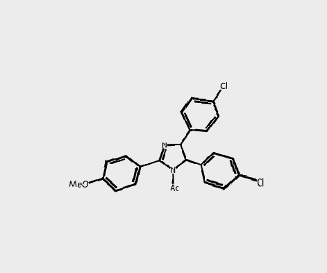 COc1ccc(C2=NC(c3ccc(Cl)cc3)C(c3ccc(Cl)cc3)N2C(C)=O)cc1